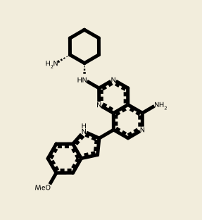 COc1ccc2[nH]c(-c3cnc(N)c4cnc(N[C@H]5CCCC[C@H]5N)nc34)cc2c1